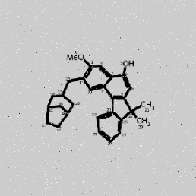 COc1cc2c(O)cc3c(c2cc1CC1CC2CCC(C2)C1)-c1ccccc1C3(C)C